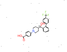 O=C(O)c1ccc(N2CCC([C@@H](O)c3ccccc3-c3ccc(C(F)(F)F)cc3)CC2)cc1